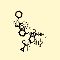 COc1c(NC(/C=C(\N)NC(=O)C2CC2)=C(/N)C(N)=O)cccc1-c1cnn(C2CCCCC2)c1C#N